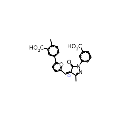 CC1=NN(c2cccc(C(=O)O)c2)C(=O)/C1=C\c1ccc(-c2ccc(C)c(C(=O)O)c2)o1